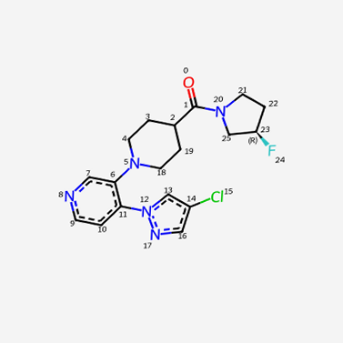 O=C(C1CCN(c2cnccc2-n2cc(Cl)cn2)CC1)N1CC[C@@H](F)C1